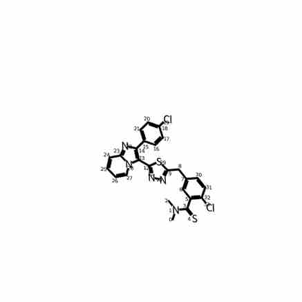 CN(C)C(=S)c1cc(Cc2nnc(-c3c(-c4ccc(Cl)cc4)nc4ccccn34)s2)ccc1Cl